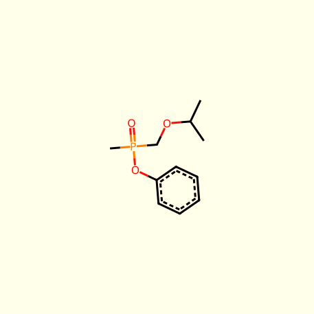 CC(C)OCP(C)(=O)Oc1ccccc1